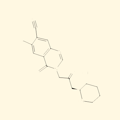 C#Cc1cc2ncn(CC(=O)C[C@@H]3NCCC[C@H]3O)c(=O)c2cc1Cl